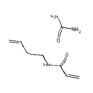 C=CCCNC(=O)C=C.NC(N)=O